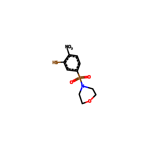 O=[N+]([O-])c1ccc(S(=O)(=O)N2CCOCC2)cc1S